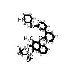 Cc1c(F)c(NS(=O)(=O)CC(F)(F)F)c2ccccc2c1Oc1ncccc1-c1ccnc(NC2CCCNC2)n1